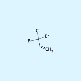 C=CC(Cl)(Br)Br